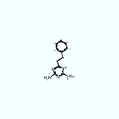 CSc1nc(N)nc(CCc2ccccc2)n1